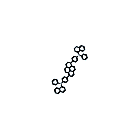 C1=C(N(c2ccccc2)c2ccc(C3CC=c4ccc5c(-c6ccc(N(c7ccccc7)c7cccc8ccccc78)cc6)ccc6ccc3c4c65)cc2)c2ccccc2CC1